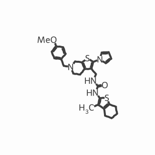 COc1ccc(CN2CCc3c(sc(-n4cccc4)c3CNC(=O)Nc3sc4c(c3C)CCCC4)C2)cc1